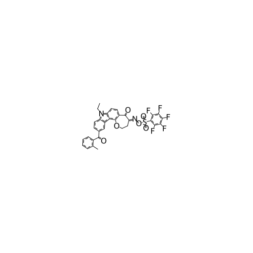 CCn1c2ccc(C(=O)c3ccccc3C)cc2c2c3c(ccc21)C(=O)/C(=N/OS(=O)(=O)c1c(F)c(F)c(F)c(F)c1F)CCO3